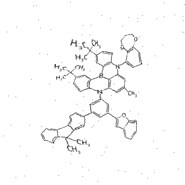 Cc1cc2c3c(c1)N(c1cccc4c1OCCCO4)c1ccc(C(C)(C)C)cc1B3c1cc(C(C)(C)C)ccc1N2c1cc(-c2ccc3c(c2)C(C)(C)c2ccccc2-3)cc(-c2cc3ccccc3o2)c1